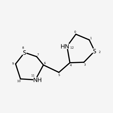 C1CSCC(CC2CSCCN2)N1